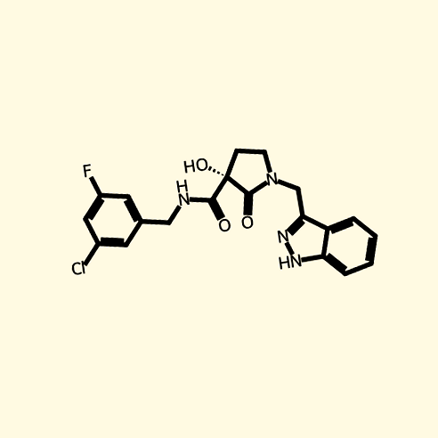 O=C(NCc1cc(F)cc(Cl)c1)[C@@]1(O)CCN(Cc2n[nH]c3ccccc23)C1=O